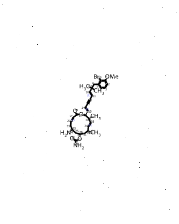 COc1cccc(CC(C)(C)/C=C/C#C/C=C/[C@@H]2OC(=O)/C=C\C[C@H](N)C[C@H](OC(N)=O)C[C@H](C)/C=C/[C@H]2C)c1Br